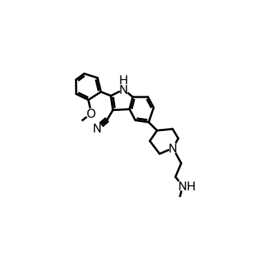 CNCCN1CCC(c2ccc3[nH]c(-c4ccccc4OC)c(C#N)c3c2)CC1